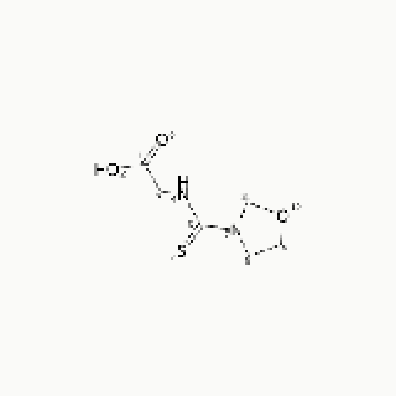 O=C(O)CNC(=S)N1CCOC1